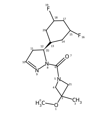 COC1(C)CN(C(=O)N2N=CC[C@H]2C2CC(F)CC(F)C2)C1